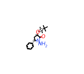 CC(C)(C)[Si](C)(C)O[C@@H]1C[C@@H](c2ccccc2)N(N)C1=O